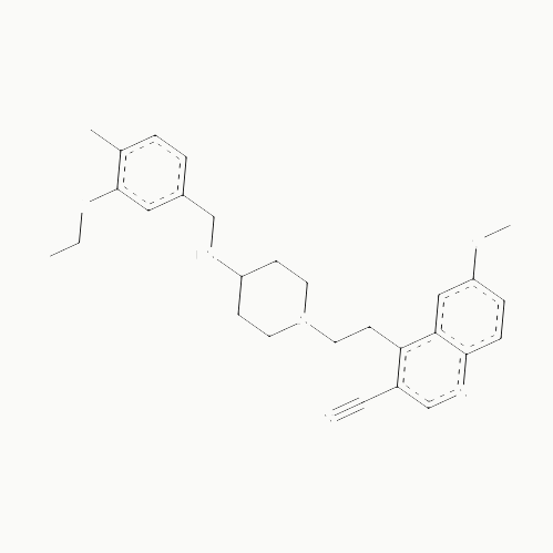 COc1ccc2ncc(C#N)c(CCN3CCC(NCc4ccc(C)c(OCF)c4)CC3)c2c1